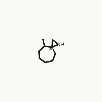 CC1CCCCC[C@]12CN2